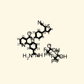 N#Cc1sccc1-c1ccc(NC(=O)c2cccnc2-c2cccc(C(=N)N)c2)cc1.O=C(O)C(F)(F)F.O=C(O)C(F)(F)F